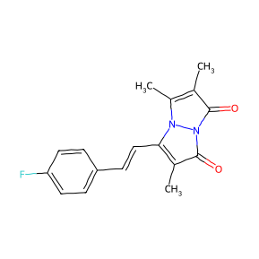 Cc1c(C)n2c(/C=C/c3ccc(F)cc3)c(C)c(=O)n2c1=O